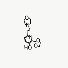 Oc1ccc(CCN2CCOCC2)nc1C1OCCO1